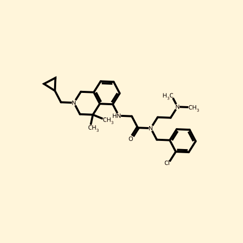 CN(C)CCN(Cc1ccccc1Cl)C(=O)CNc1cccc2c1C(C)(C)CN(CC1CC1)C2